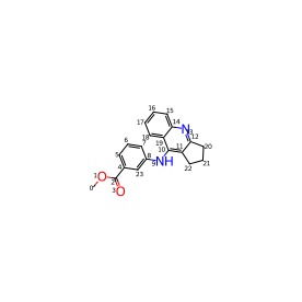 COC(=O)c1cccc(Nc2c3c(nc4ccccc24)CCC3)c1